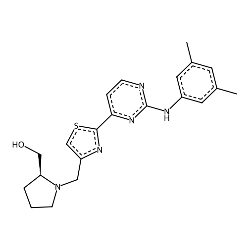 Cc1cc(C)cc(Nc2nccc(-c3nc(CN4CCC[C@H]4CO)cs3)n2)c1